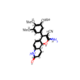 COc1cc(C2C3=CC=C4NC(=O)C=CC4C3OC(N)=C2C#N)cc(OC)c1OC